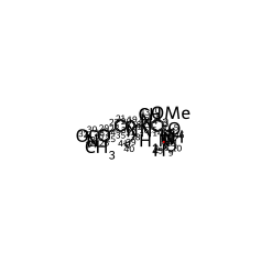 COc1cc(C(=O)N2C[C@H]3CC[C@@H]2[C@@H]3N)cc2nc(-c3cc4ccc(-c5ccc6c(c5)CC(=O)N6C)cc4n3CC3CC3)n(C)c12